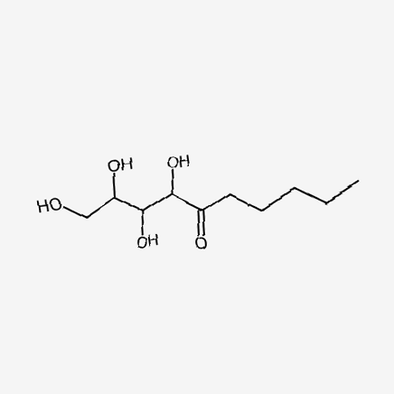 CCCCCC(=O)C(O)C(O)C(O)CO